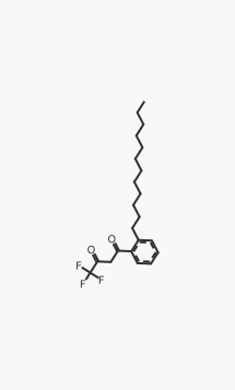 CCCCCCCCCCCCc1ccccc1C(=O)CC(=O)C(F)(F)F